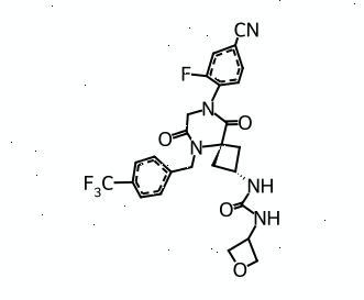 N#Cc1ccc(N2CC(=O)N(Cc3ccc(C(F)(F)F)cc3)[C@]3(C[C@@H](NC(=O)NC4COC4)C3)C2=O)c(F)c1